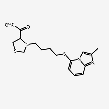 Cc1cn2c(SCCCCN3CSCC3C(=O)C=O)cccc2n1